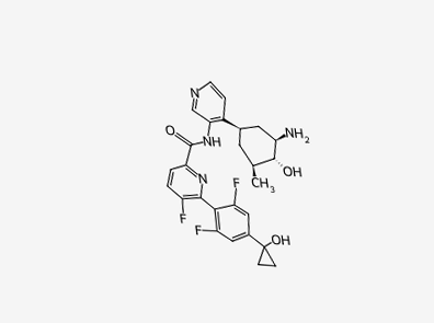 C[C@H]1C[C@@H](c2ccncc2NC(=O)c2ccc(F)c(-c3c(F)cc(C4(O)CC4)cc3F)n2)C[C@@H](N)[C@@H]1O